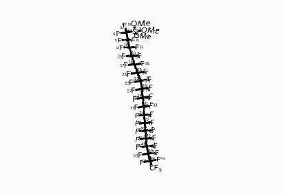 CO[Si](OC)(OC)C(F)(F)C(F)(F)C(F)(F)C(F)(F)C(F)(F)C(F)(F)C(F)(F)C(F)(F)C(F)(F)C(F)(F)C(F)(F)C(F)(F)C(F)(F)C(F)(F)C(F)(F)C(F)(F)C(F)(F)C(F)(F)F